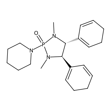 CN1[C@H](C2=CCCC=C2)[C@@H](C2=CCCC=C2)N(C)P1(=O)N1CCCCC1